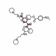 O=C(OC1CC2CCC1C(C(=O)NC(=O)C1C3CCC(CC3OC(=O)c3ccc([N+](=O)[O-])cc3)C1C(=O)NCCCN1CCCCC1)C2C(=O)NCCCN1CCCCC1)c1ccc([N+](=O)[O-])cc1